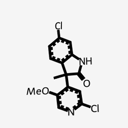 COc1cnc(Cl)cc1C1(C)C(=O)Nc2cc(Cl)ccc21